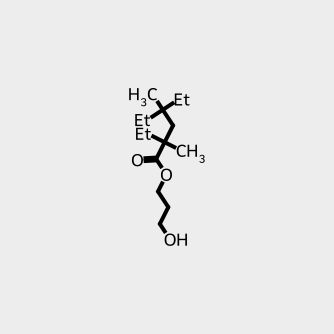 CCC(C)(CC)CC(C)(CC)C(=O)OCCCO